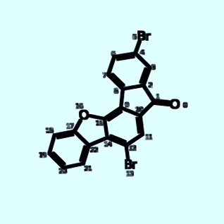 O=C1c2cc(Br)ccc2-c2c1cc(Br)c1c2oc2ccccc21